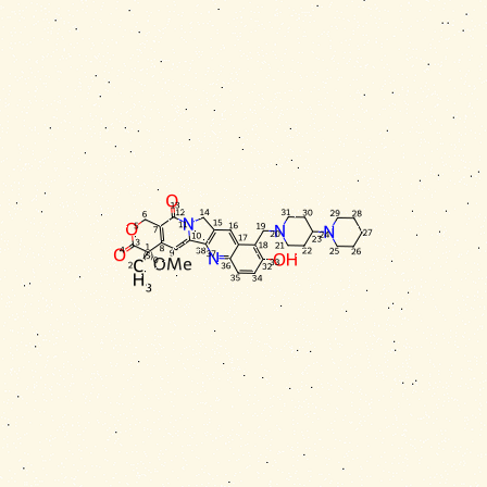 CO[C@]1(C)C(=O)OCc2c1cc1n(c2=O)Cc2cc3c(CN4CCC(N5CCCCC5)CC4)c(O)ccc3nc2-1